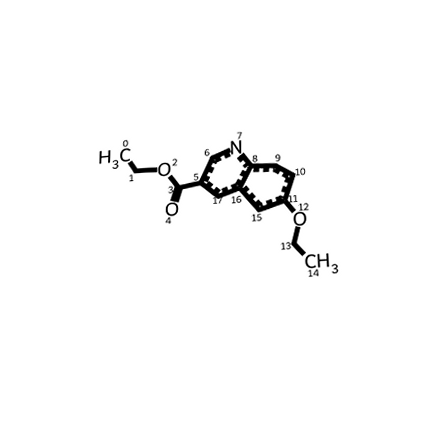 CCOC(=O)c1cnc2ccc(OCC)cc2c1